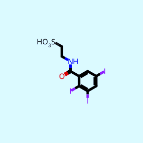 O=C(NCCS(=O)(=O)O)c1cc(I)cc(I)c1I